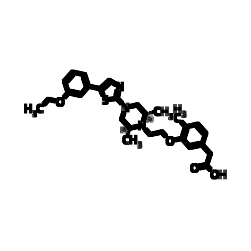 CCOc1cccc(-c2cnc(N3C[C@@H](C)N(CCOc4cc(CC(=O)O)ccc4C)[C@@H](C)C3)s2)c1